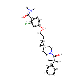 CCC(C)(C(=O)N1CCC2(CC1)C[C@H]2CCOc1ccc(C(=O)N(C)C)c(Cl)c1)c1ccccc1